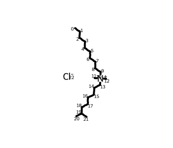 CCCCCCCCCC[N+](C)(C)CCCCCCC(C)C.[Cl-]